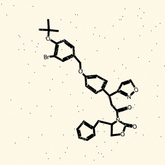 CC(C)(C)Oc1ccc(COc2ccc(C(CC(=O)N3C(=O)OCC3Cc3ccccc3)c3ccon3)cc2)cc1Br